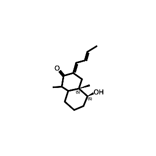 CC=CC=C1C[C@@]2(C)C(CCC[C@@H]2O)C(C)C1=O